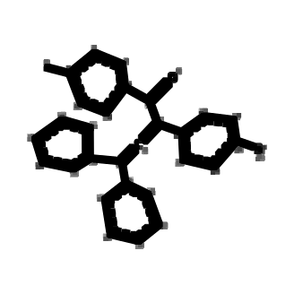 Cc1ccc(C(=O)C(=C=C(c2ccccc2)c2ccccc2)c2ccc(Br)cc2)cc1